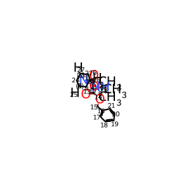 CC(C)(C)OC(=O)N1[C@@H]2C[C@@H](NC(=O)OCc3ccccc3)C[C@H]1C2